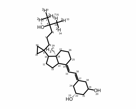 [2H]C([2H])([2H])C(O)(CCCC1(C2CCC3/C(=C/C=C4/CC(O)C[C@H](O)C4)CCC[C@@]32C)CC1)C([2H])([2H])[2H]